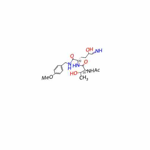 COc1ccc(CNC(=O)[C@H](CCC(O)C=N)NC(=O)[C@@H](NC(C)=O)C(C)O)cc1